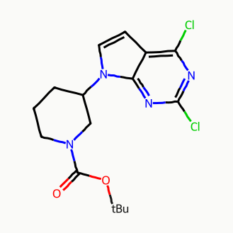 CC(C)(C)OC(=O)N1CCCC(n2ccc3c(Cl)nc(Cl)nc32)C1